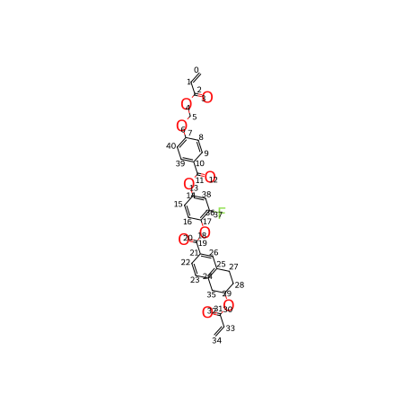 C=CC(=O)OCOc1ccc(C(=O)Oc2ccc(OC(=O)c3ccc4c(c3)CCC(OC(=O)C=C)C4)c(F)c2)cc1